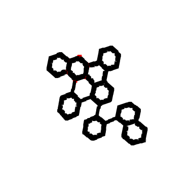 c1ccc(-c2cccc3ccccc23)c(-c2ccc3c4ccccc4c4ccccc4c3c2-c2ccccc2-c2cccc3ccccc23)c1